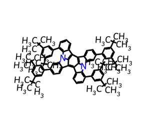 CC(C)(C)c1cc(-c2ccc3c4c5c6cccc(-c7cc(C(C)(C)C)cc(C(C)(C)C)c7)c6n6c7cc(-c8cc(C(C)(C)C)cc(C(C)(C)C)c8)ccc7c(c7c8cccc(-c9cc(C(C)(C)C)cc(C(C)(C)C)c9)c8n(c3c2)c47)c56)cc(C(C)(C)C)c1